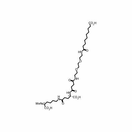 CN[C@@H](CCCCNC(=O)CC[C@H](NC(=O)CCC(=O)NCCOCCOCCNC(=O)CCCCCCCCC(=O)O)C(=O)O)C(=O)O